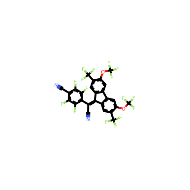 N#CC(=C1c2cc(C(F)(F)F)c(OC(F)(F)F)cc2-c2cc(OC(F)(F)F)c(C(F)(F)F)cc21)c1c(F)c(F)c(C#N)c(F)c1F